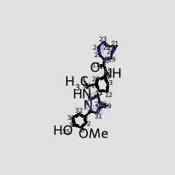 COc1cc(C2=N/C(N[C@@H](C)c3cccc(NC(=O)C4=C/C=C/C=C/C=C\4)c3)=C\C=C\C=C\2)ccc1O